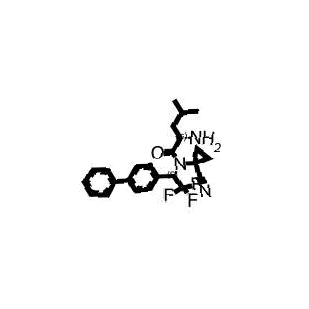 CC(C)C[C@H](N)C(=O)N([C@@H](c1ccc(-c2ccccc2)cc1)C(F)(F)F)C1(C#N)CC1